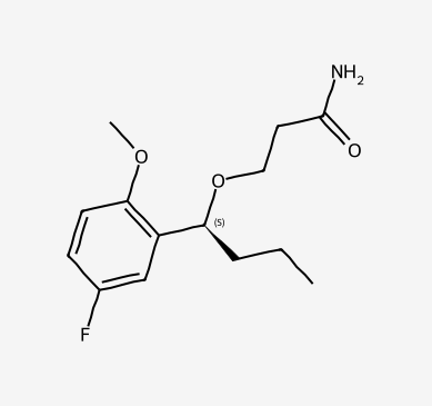 CCC[C@H](OCCC(N)=O)c1cc(F)ccc1OC